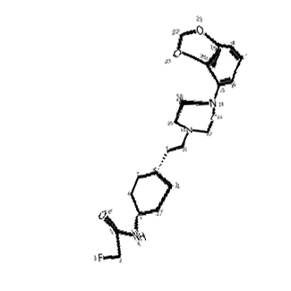 O=C(CF)N[C@H]1CC[C@H](CCN2CCN(c3cccc4c3OCO4)CC2)CC1